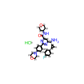 Cl.NC(c1cc(C(=O)NC2CCOCC2)nc(-c2ccc(N3CCOCC3)cc2)n1)[C@@H]1C[C@@H]1c1ccc(F)cc1